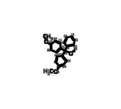 COc1ccc(C(OI)(c2ccccc2)c2ccc(OC)cc2)cc1